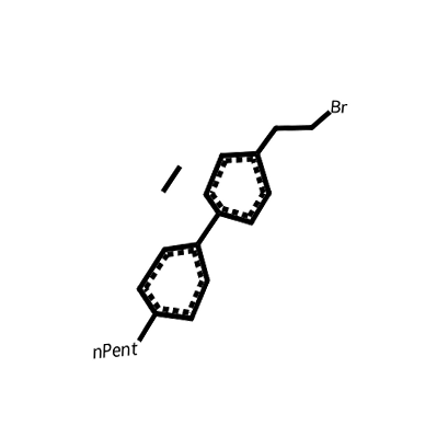 CC.CCCCCc1ccc(-c2ccc(CCBr)cc2)cc1